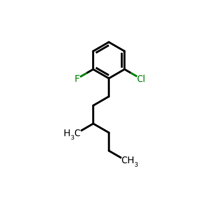 CCCC(C)CCc1c(F)cccc1Cl